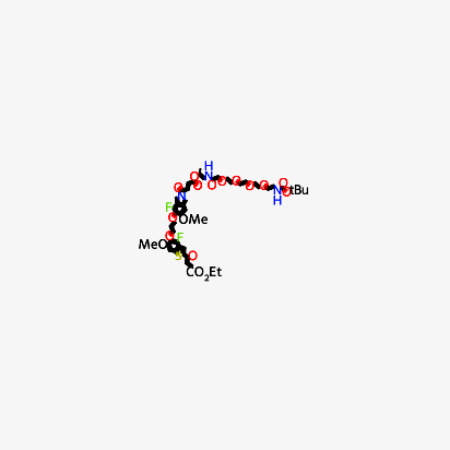 CCOC(=O)CCC(=O)c1cc2c(F)c(OCCCOc3c(OC)cc4c(c3F)CN(C(=O)CCC(=O)O[C@@H](C)CNC(=O)COCCOCCOCCOCCNC(=O)OC(C)(C)C)C4)c(OC)cc2s1